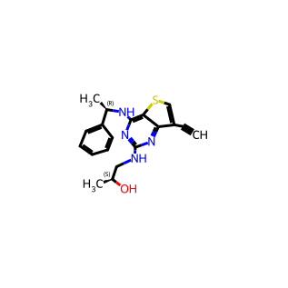 C#Cc1csc2c(N[C@H](C)c3ccccc3)nc(NC[C@H](C)O)nc12